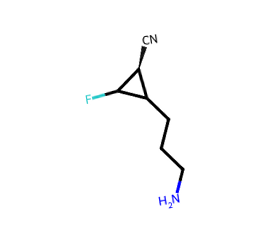 N#C[C@@H]1C(F)C1CCCN